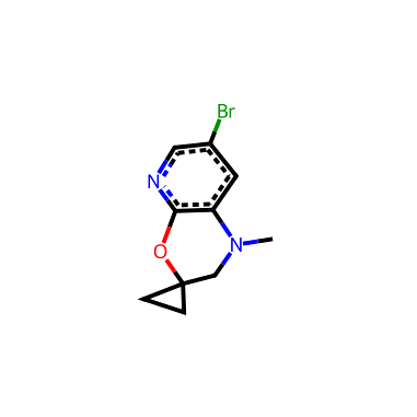 CN1CC2(CC2)Oc2ncc(Br)cc21